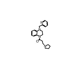 O=C(CCN1CCCC1)N1CCN(Cc2ccccn2)c2ccccc21